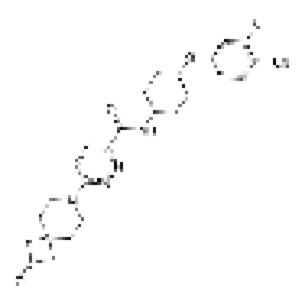 N#Cc1ccc(OC2CCC(NC(=O)c3ccc(N4CCC5(CC4)CC(=O)C5)nn3)CC2)cc1Cl